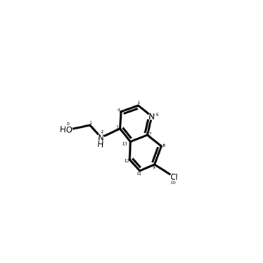 OCNc1ccnc2cc(Cl)ccc12